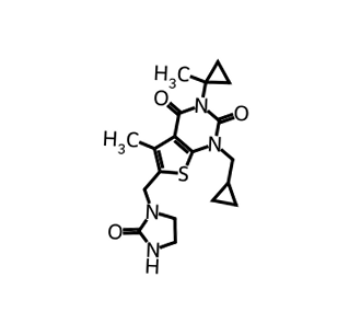 Cc1c(CN2CCNC2=O)sc2c1c(=O)n(C1(C)CC1)c(=O)n2CC1CC1